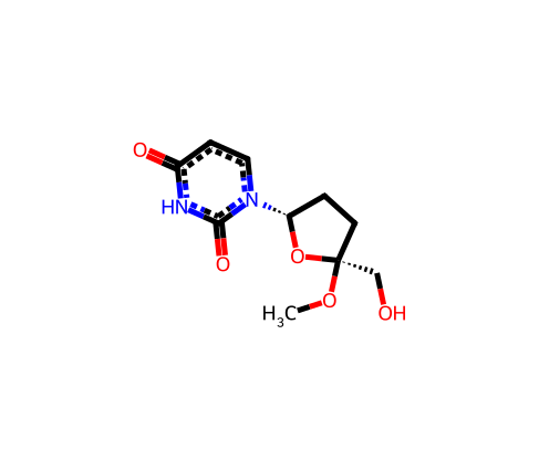 CO[C@]1(CO)CC[C@@H](n2ccc(=O)[nH]c2=O)O1